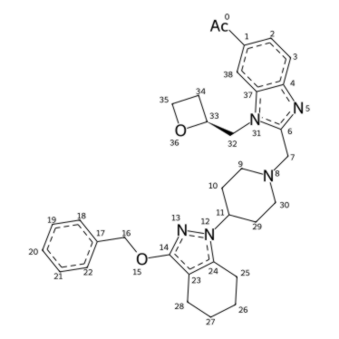 CC(=O)c1ccc2nc(CN3CCC(n4nc(OCc5ccccc5)c5c4CCCC5)CC3)n(C[C@@H]3CCO3)c2c1